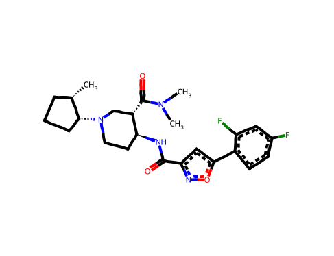 C[C@H]1CCC[C@H]1N1CC[C@H](NC(=O)c2cc(-c3ccc(F)cc3F)on2)[C@@H](C(=O)N(C)C)C1